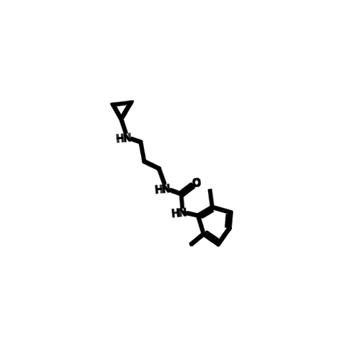 Cc1cccc(C)c1NC(=O)NCCCNC1CC1